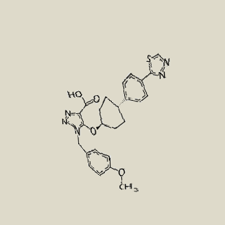 COc1ccc(Cn2nnc(C(=O)O)c2O[C@H]2CC[C@H](c3ccc(-c4nncs4)cc3)CC2)cc1